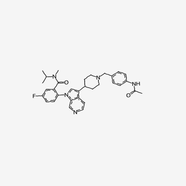 CC(=O)Nc1ccc(CN2CCC(c3cn(-c4ccc(F)cc4C(=O)N(C)C(C)C)c4cnccc34)CC2)cc1